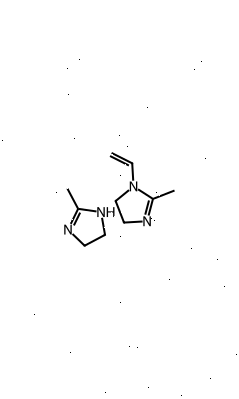 C=CN1CCN=C1C.CC1=NCCN1